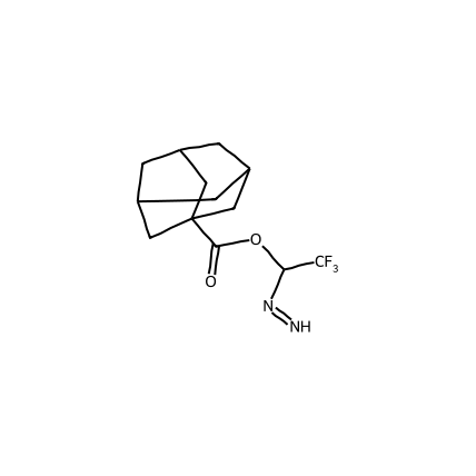 N=NC(OC(=O)C12CC3CC(CC(C3)C1)C2)C(F)(F)F